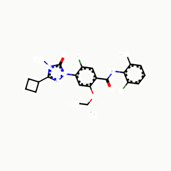 Cc1cccc(F)c1NC(=O)c1cc(F)c(-n2nc(C3CCC3)n(C)c2=O)cc1O[C@@H](C)C(F)(F)F